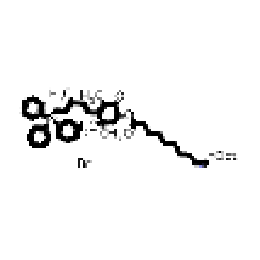 CCCCCCCC/C=C\CCCCCCCC(=O)O[C@H]1CC(C)(C)C(C=CC(C)=CC[P+](c2ccccc2)(c2ccccc2)c2ccccc2)=C(C)C1=O.[Br-]